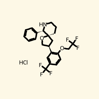 Cl.FC(F)(F)COc1ccc(C(F)(F)F)cc1[C@H]1CO[C@]2(CCCN[C@H]2c2ccccc2)C1